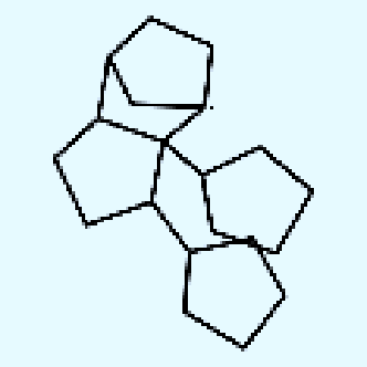 C1CCC(C2CCC3C4CC[C](C4)C23C2CCCC2)C1